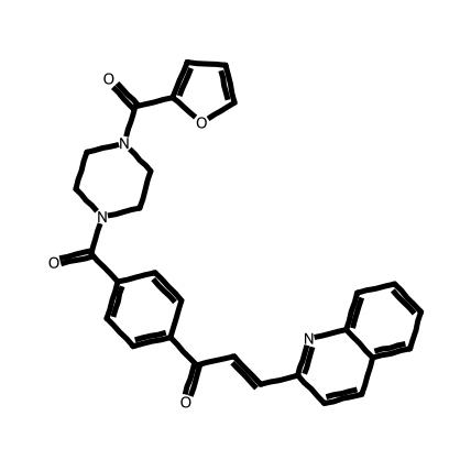 O=C(C=Cc1ccc2ccccc2n1)c1ccc(C(=O)N2CCN(C(=O)c3ccco3)CC2)cc1